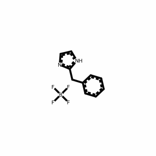 F[B-](F)(F)F.c1ccc(Cc2ncc[nH]2)cc1